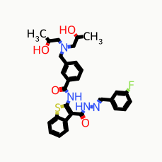 CC(O)CN(Cc1cccc(C(=O)Nc2sc3ccccc3c2C(=O)N/N=C/c2cccc(F)c2)c1)CC(C)O